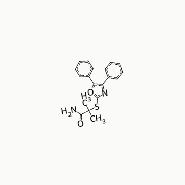 CC(C)(Sc1nc(-c2ccccc2)c(-c2ccccc2)o1)C(N)=O